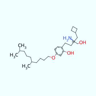 CC(C)CCCC(C)CCCCOc1ccc(CC[C@@](N)(CO)CC2CCC2)c(O)c1